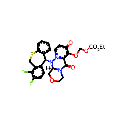 CCOC(=O)OCOc1c2n(ccc1=O)N([C@@H]1c3ccccc3SCc3c1ccc(F)c3F)[C@@H]1COCCN1C2=O